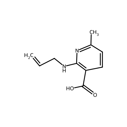 C=CCNc1nc(C)ccc1C(=O)O